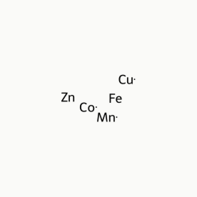 [Co].[Cu].[Fe].[Mn].[Zn]